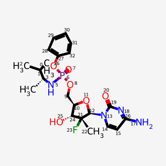 CC(C)[C@@H](C)NP(=O)(OC[C@H]1O[C@@H](n2ccc(N)nc2=O)[C@](C)(F)[C@@H]1O)Oc1ccccc1